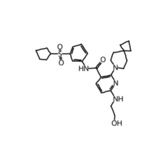 O=C(Nc1cccc(S(=O)(=O)C2CCCC2)c1)c1ccc(NCCO)nc1N1CCC2(CCC2)CC1